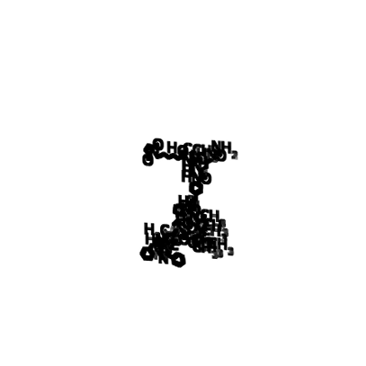 CC[C@H](C)[C@@H]([C@@H](CC(=O)N1CCC[C@H]1[C@H](OC)[C@@H](C)C(=O)N[C@@H](Cc1ccccc1)c1nnc(-c2ccccc2)o1)OC)N(C)C(=O)[C@@H](NC(=O)[C@@H]1[C@H]2CC[C@H](C2)N1C(=O)OCc1ccc(NC(=O)[C@H](CCCNC(N)=O)NC(=O)[C@@H](NC(=O)CCCCCN2C(=O)C=CC2=O)C(C)C)cc1)C(C)C